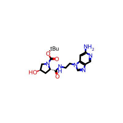 CC(C)(C)OC(=O)N1C[C@H](O)C[C@H]1C(=O)NCCn1cnc2cnc(N)cc21